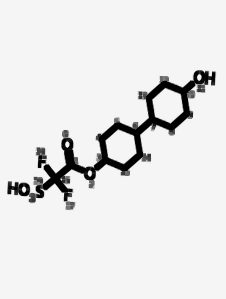 O=C(OC1CCC(C2CCC(O)CC2)CC1)C(F)(F)S(=O)(=O)O